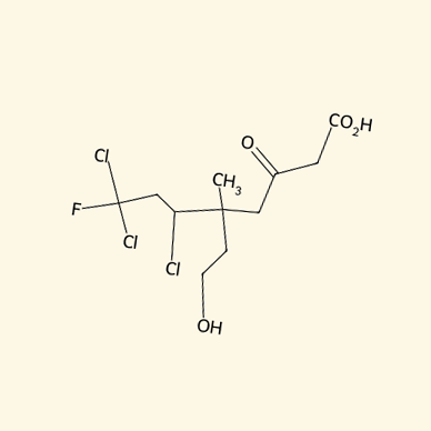 CC(CCO)(CC(=O)CC(=O)O)C(Cl)CC(F)(Cl)Cl